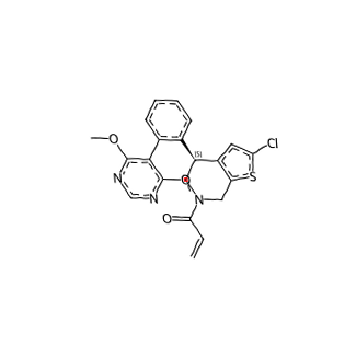 C=CC(=O)N1Cc2sc(Cl)cc2[C@H](c2ccccc2-c2c(OC)ncnc2OC)C1